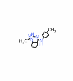 Cc1ccc(Nc2nc3nnc(C)n3c3ccccc23)cc1